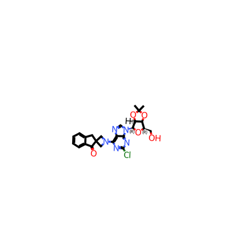 CC1(C)OC2[C@@H](CO)O[C@@H](n3cnc4c(N5CC6(Cc7ccccc7C6=O)C5)nc(Cl)nc43)[C@H]2O1